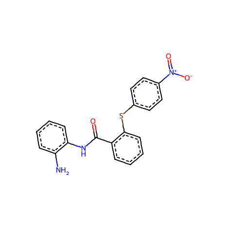 Nc1ccccc1NC(=O)c1ccccc1Sc1ccc([N+](=O)[O-])cc1